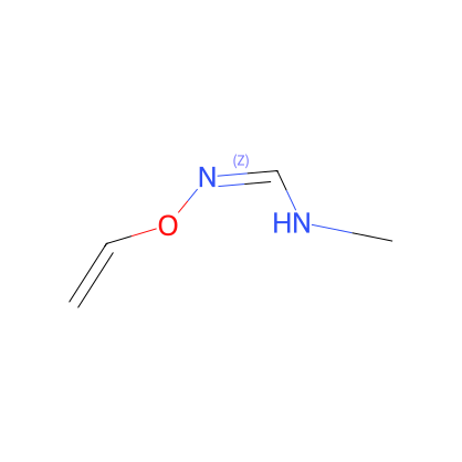 C=CO/N=C\NC